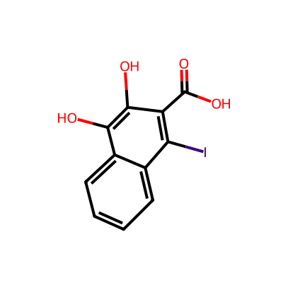 O=C(O)c1c(O)c(O)c2ccccc2c1I